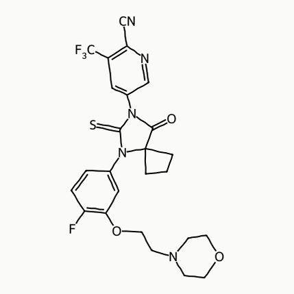 N#Cc1ncc(N2C(=O)C3(CCC3)N(c3ccc(F)c(OCCN4CCOCC4)c3)C2=S)cc1C(F)(F)F